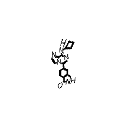 O=C1NCc2cc(-c3cnc(NC4CCC4)c4nccn34)ccc21